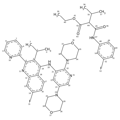 CC(C)c1c(-c2ccccn2)nc2cc(F)ccc2c1Nc1cc(N2CCOCC2)cnc1N1CCOCC1.CCOC(=O)C(C(=O)Nc1cccc(F)c1)C(C)C